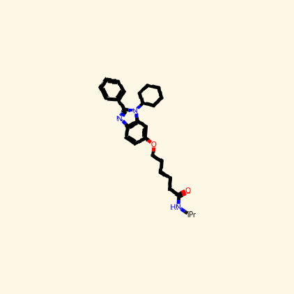 CC(C)NC(=O)CCCCCOc1ccc2nc(-c3ccccc3)n(C3CCCCC3)c2c1